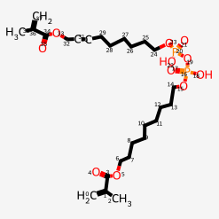 C=C(C)C(=O)OCCCCCCCCCOP(=O)(O)OP(=O)(O)OCCCCCCCCCOC(=O)C(=C)C